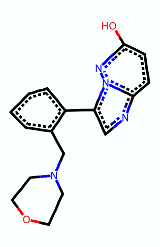 Oc1ccc2ncc(-c3ccccc3CN3CCOCC3)n2n1